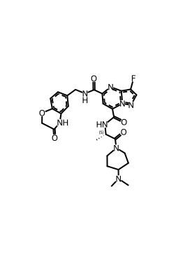 C[C@H](NC(=O)c1cc(C(=O)NCc2ccc3c(c2)NC(=O)CO3)nc2c(F)cnn12)C(=O)N1CCC(N(C)C)CC1